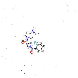 CN(C)C1CCN(C(=O)C2CN(C(=O)c3ccccc3F)C2)C1